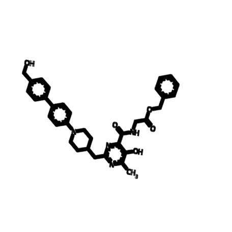 Cc1nc(CC2CCN(c3ccc(-c4ccc(CO)cc4)cc3)CC2)nc(C(=O)NCC(=O)OCc2ccccc2)c1O